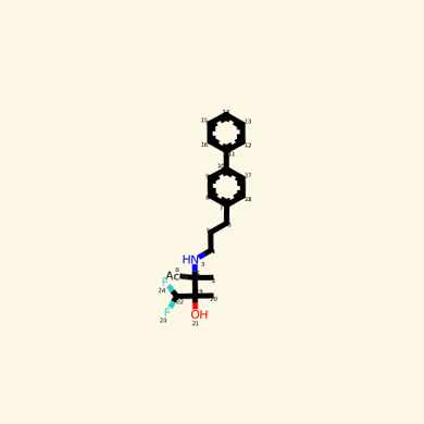 CC(=O)C(C)(NCCCc1ccc(-c2ccccc2)cc1)C(C)(O)C(F)F